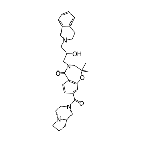 CC1(C)CN(CC(O)CN2CCc3ccccc3C2)C(=O)c2ccc(C(=O)N3CCN4CCCC4C3)cc2O1